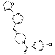 O=C(c1ccc(Cl)cc1)N1CCC(=Cc2cccc(C3=NCCO3)c2)CC1